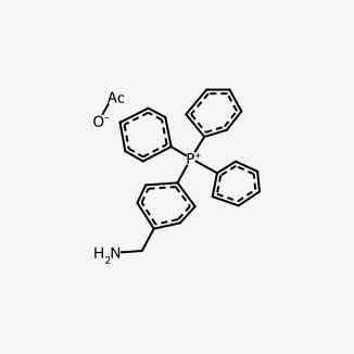 CC(=O)[O-].NCc1ccc([P+](c2ccccc2)(c2ccccc2)c2ccccc2)cc1